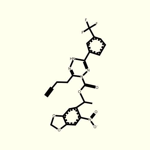 C#CCCC1=NNC(c2cccc(C(F)(F)F)c2)=NN1C(=O)OC(C)c1cc2c(cc1[N+](=O)[O-])OCO2